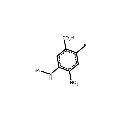 CC(C)Nc1cc(C(=O)O)c(F)cc1[N+](=O)[O-]